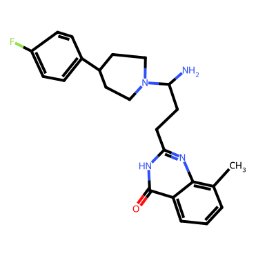 Cc1cccc2c(=O)[nH]c(CCC(N)N3CCC(c4ccc(F)cc4)CC3)nc12